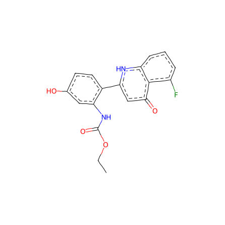 CCOC(=O)Nc1cc(O)ccc1-c1cc(=O)c2c(F)cccc2[nH]1